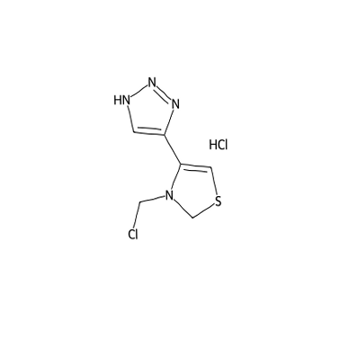 Cl.ClCN1CSC=C1c1c[nH]nn1